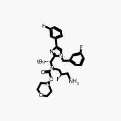 CC(C)(C)[C@H](c1nc(-c2cccc(F)c2)cn1Cc1cccc(F)c1)N(C[C@@H](F)CN)C(=O)ON1CCOCC1